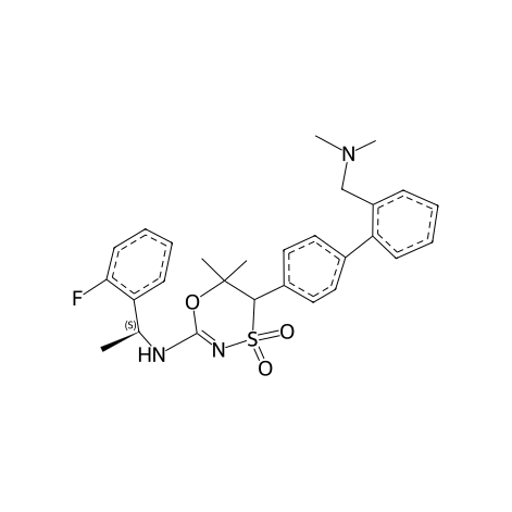 C[C@H](NC1=NS(=O)(=O)C(c2ccc(-c3ccccc3CN(C)C)cc2)C(C)(C)O1)c1ccccc1F